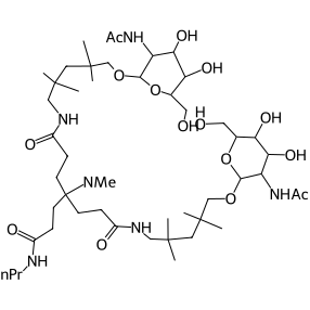 CCCNC(=O)CCC(CCC(=O)NCC(C)(C)CC(C)(C)COC1OC(CO)C(O)C(O)C1NC(C)=O)(CCC(=O)NCC(C)(C)CC(C)(C)COC1OC(CO)C(O)C(O)C1NC(C)=O)NC